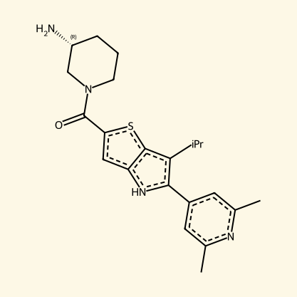 Cc1cc(-c2[nH]c3cc(C(=O)N4CCC[C@@H](N)C4)sc3c2C(C)C)cc(C)n1